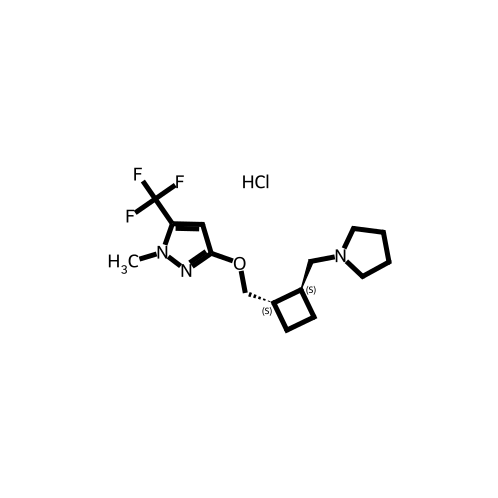 Cl.Cn1nc(OC[C@H]2CC[C@@H]2CN2CCCC2)cc1C(F)(F)F